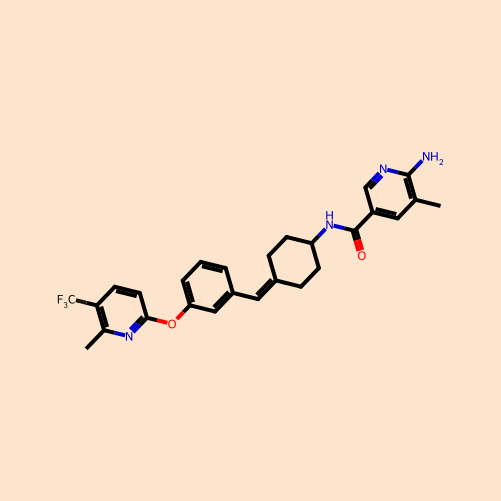 Cc1cc(C(=O)NC2CCC(=Cc3cccc(Oc4ccc(C(F)(F)F)c(C)n4)c3)CC2)cnc1N